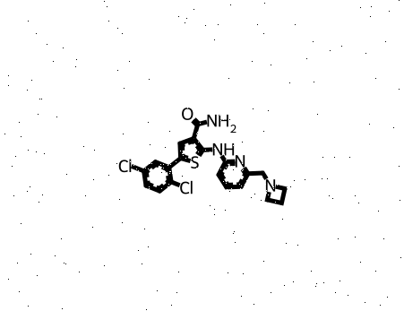 NC(=O)c1cc(-c2cc(Cl)ccc2Cl)sc1Nc1cccc(CN2CCC2)n1